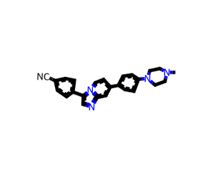 CN1CCN(c2ccc(-c3ccn4c(-c5ccc(C#N)cc5)cnc4c3)cc2)CC1